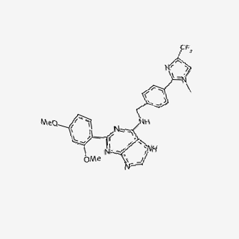 COc1ccc(-c2nc(NCc3ccc(-c4nc(C(F)(F)F)cn4C)cc3)c3[nH]cnc3n2)c(OC)c1